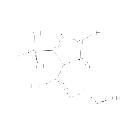 CCO/N=C(/C)C1C(=O)N(C)N=C1C(C)(C)C